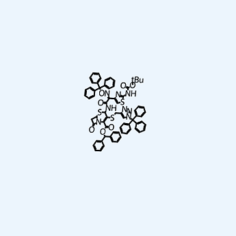 CC(C)(C)OC(=O)Nc1nc(/C(=N/OC(c2ccccc2)(c2ccccc2)c2ccccc2)C(=O)NC2SC3CC(=O)N3C(C(=O)OC(c3ccccc3)c3ccccc3)=C2SCc2cn(C(c3ccccc3)(c3ccccc3)c3ccccc3)nn2)cs1